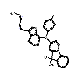 C/C=C\C=C/c1csc2c(N(c3ccc(Cl)cc3)c3ccc4c(c3)C(C)(C)c3ccccc3-4)cccc12